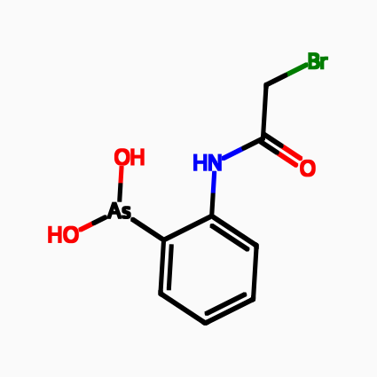 O=C(CBr)Nc1ccccc1[As](O)O